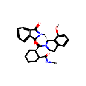 CCNC(=O)[C@H]1CCCC[C@H]1C(=O)N1CCc2cccc(OCC)c2[C@H]1CN1C(=O)c2ccccc2C1=O